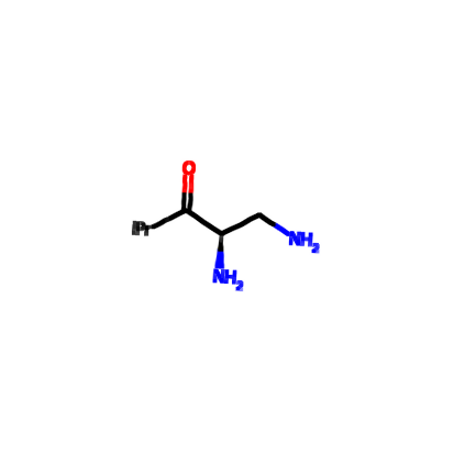 CC(C)C(=O)[C@H](N)CN